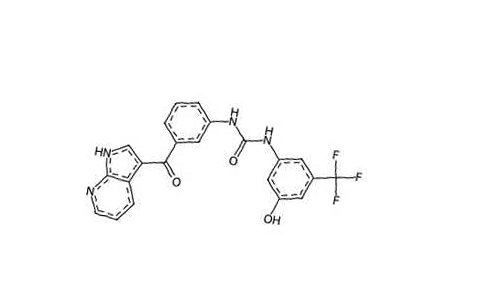 O=C(Nc1cccc(C(=O)c2c[nH]c3ncccc23)c1)Nc1cc(O)cc(C(F)(F)F)c1